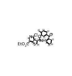 CCOC(=O)c1cnc(Cl)c2c(C(N)Oc3cc(C(=O)c4ccccc4)ccc3C)csc12